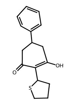 O=C1CC(c2ccccc2)CC(O)=C1C1CCCS1